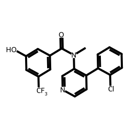 CN(C(=O)c1cc(O)cc(C(F)(F)F)c1)c1cnccc1-c1ccccc1Cl